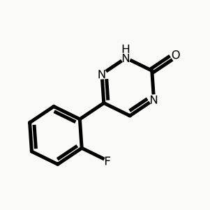 O=c1ncc(-c2ccccc2F)n[nH]1